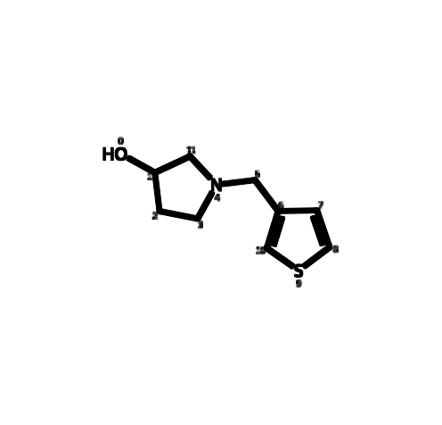 OC1CCN(Cc2ccsc2)C1